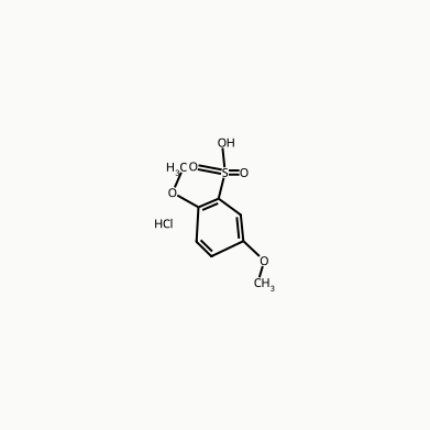 COc1ccc(OC)c(S(=O)(=O)O)c1.Cl